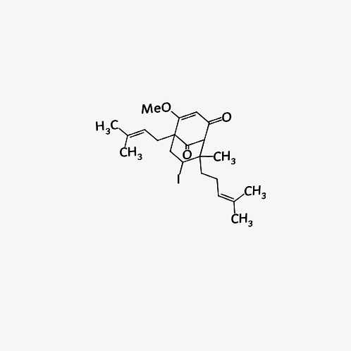 COC1=CC(=O)C2C(=O)C1(CC=C(C)C)CC(I)C2(C)CCC=C(C)C